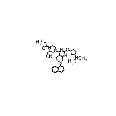 C=CC(=O)N1CCN(c2nc(OC3CCC(N(C)C)C3)nc3c2CCN(c2cccc4ccccc24)C3)CC1CC#N